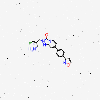 NC/C(=C\F)Cn1nc2cc(-c3ccc(-c4ccon4)cc3)ccn2c1=O